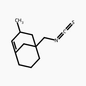 CC1C=C2CCCC(CN=C=S)(C2)C1